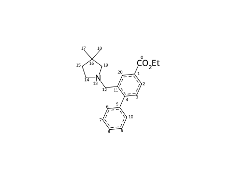 CCOC(=O)c1ccc(-c2ccccc2)c(CN2CCC(C)(C)C2)c1